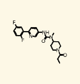 CCC(=O)N1CCC(N(C)C(=O)Nc2ccc(-c3cc(F)ccc3F)nc2)CC1